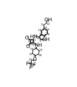 O=c1c(Nc2c[nH]c3ccc(CCO)cc23)c(NC2CCC(OCC(F)(F)F)CC2)c1=O